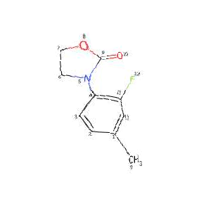 Cc1ccc(N2CCOC2=O)c(F)c1